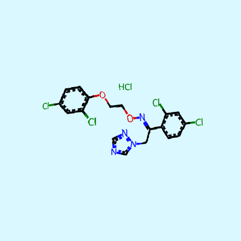 Cl.Clc1ccc(OCCON=C(Cn2cncn2)c2ccc(Cl)cc2Cl)c(Cl)c1